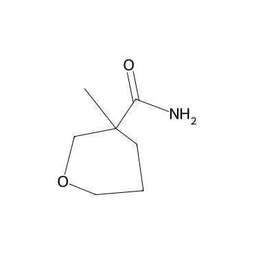 CC1(C(N)=O)CCCOC1